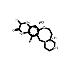 CCC1Nc2cc3c(c(F)c2NC1=O)CN1CCNC[C@@H]1CCO3.Cl